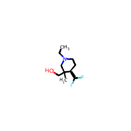 CCN1CCC(=C(F)F)C(C)(CO)C1